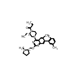 C=CC(=O)N1CCN(c2nc(OC[C@@H]3CCCN3C)nc3cc(-c4cc(C)ccc4F)c(C#N)cc23)C[C@@H]1CC#N